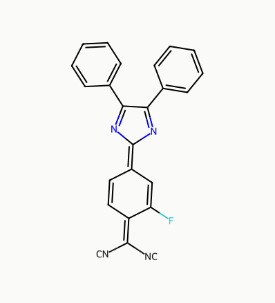 [C-]#[N+]C([N+]#[C-])=c1ccc(=C2N=C(c3ccccc3)C(c3ccccc3)=N2)cc1F